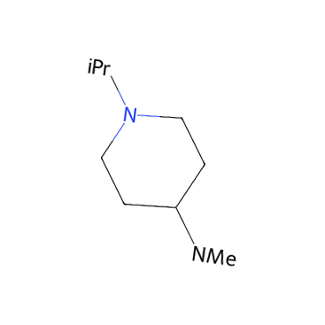 CNC1CCN(C(C)C)CC1